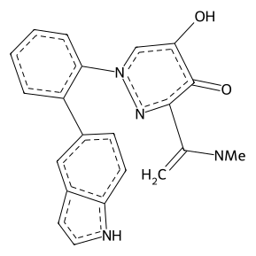 C=C(NC)c1nn(-c2ccccc2-c2ccc3[nH]ccc3c2)cc(O)c1=O